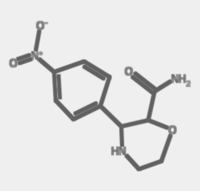 NC(=O)C1OCCNC1c1ccc([N+](=O)[O-])cc1